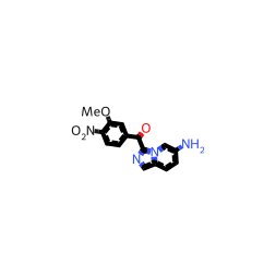 COc1cc(C(=O)c2ncc3ccc(N)cn23)ccc1[N+](=O)[O-]